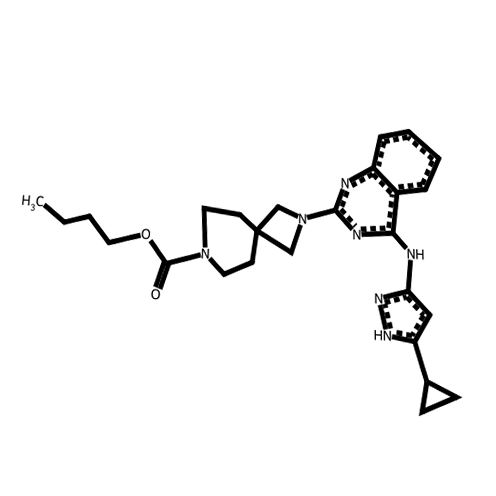 CCCCOC(=O)N1CCC2(CC1)CN(c1nc(Nc3cc(C4CC4)[nH]n3)c3ccccc3n1)C2